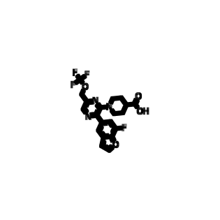 O=C(O)C1CCN(c2nc(COC(F)(F)F)cnc2-c2cc(F)c3occc3c2)CC1